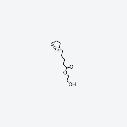 O=C(CCCC[C@@H]1CCSS1)OCCO